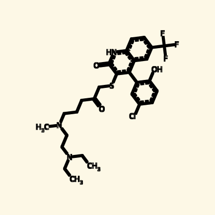 CCN(CC)CCN(C)CCCC(=O)CSc1c(-c2cc(Cl)ccc2O)c2cc(C(F)(F)F)ccc2[nH]c1=O